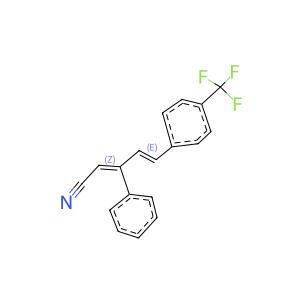 N#C/C=C(/C=C/c1ccc(C(F)(F)F)cc1)c1ccccc1